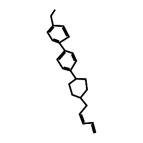 C=C/C=C\CC1CCC(c2ccc(-c3ccc(CC)cc3)cc2)CC1